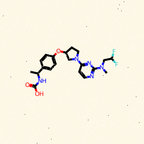 CC(NC(=O)O)c1ccc(OC2CCN(c3ccnc(N(C)CC(F)F)n3)C2)cc1